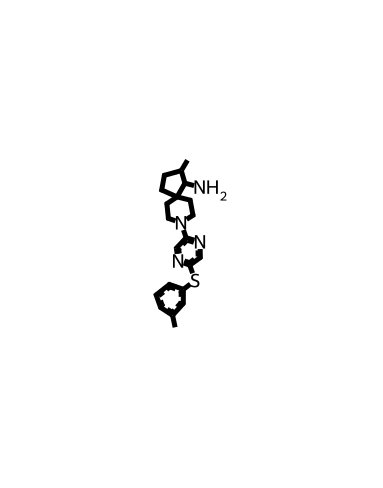 Cc1cccc(Sc2cnc(N3CCC4(CCC(C)C4N)CC3)cn2)c1